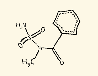 CN(C(=O)c1ccccc1)S(N)(=O)=O